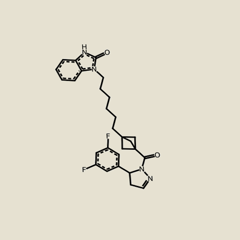 O=C(N1N=CCC1c1cc(F)cc(F)c1)C12CC(CCCCCCn3c(=O)[nH]c4ccccc43)(C1)C2